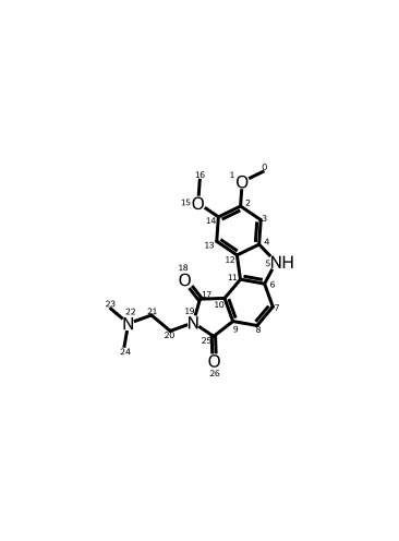 COc1cc2[nH]c3ccc4c(c3c2cc1OC)C(=O)N(CCN(C)C)C4=O